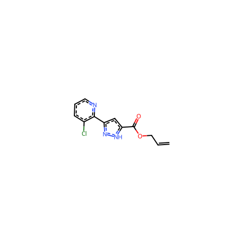 C=CCOC(=O)c1cc(-c2ncccc2Cl)n[nH]1